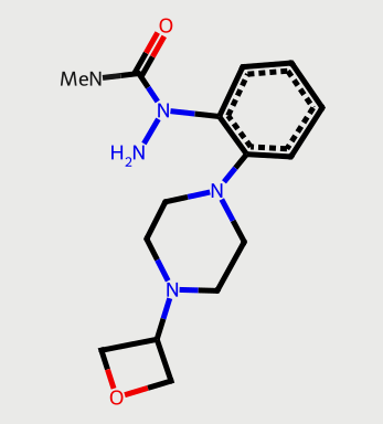 CNC(=O)N(N)c1ccccc1N1CCN(C2COC2)CC1